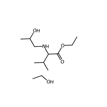 CCO.CCOC(=O)C(NCC(C)O)C(C)C